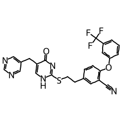 N#Cc1cc(CCSc2nc(=O)c(Cc3cncnc3)c[nH]2)ccc1Oc1cccc(C(F)(F)F)c1